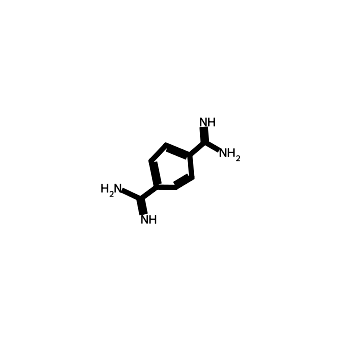 N=C(N)c1ccc(C(=N)N)cc1